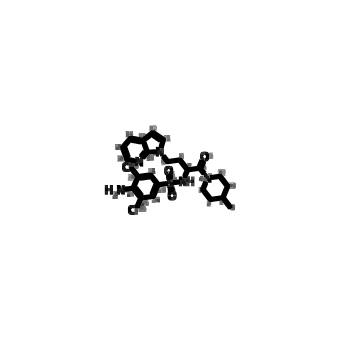 CC1CCN(C(=O)C(CCn2ccc3cccnc32)NS(=O)(=O)c2cc(Cl)c(N)c(Cl)c2)CC1